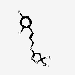 CC1(C)CC(SCC=Cc2ccc(F)cc2Cl)=NO1